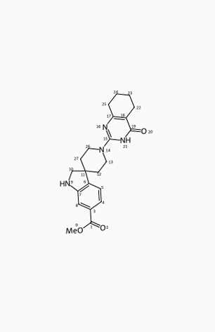 COC(=O)c1ccc2c(c1)NCC21CCN(c2nc3c(c(=O)[nH]2)CCCC3)CC1